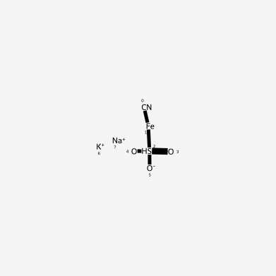 N#[C][Fe][SH](=O)([O-])[O-].[K+].[Na+]